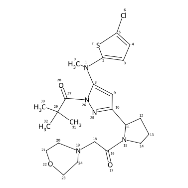 CN(c1ccc(Cl)s1)c1cc(C2CCCN2C(=O)CN2CCOCC2)nn1C(=O)C(C)(C)C